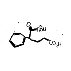 CCCCC(=O)C(CCC(=O)O)c1ccccc1